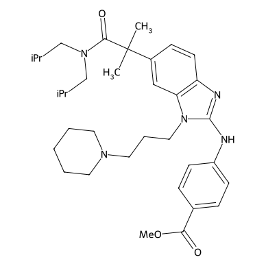 COC(=O)c1ccc(Nc2nc3ccc(C(C)(C)C(=O)N(CC(C)C)CC(C)C)cc3n2CCCN2CCCCC2)cc1